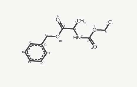 CC(NC(=O)OCCl)C(=O)OCc1ccccc1